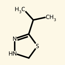 CC(C)C1=NNCS1